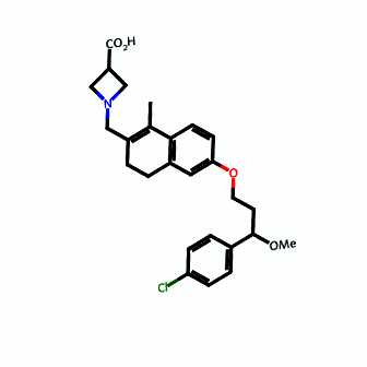 COC(CCOc1ccc2c(c1)CCC(CN1CC(C(=O)O)C1)=C2C)c1ccc(Cl)cc1